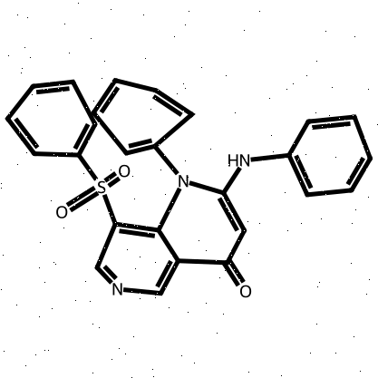 O=c1cc(Nc2ccccc2)n(-c2ccccc2)c2c(S(=O)(=O)c3ccccc3)cncc12